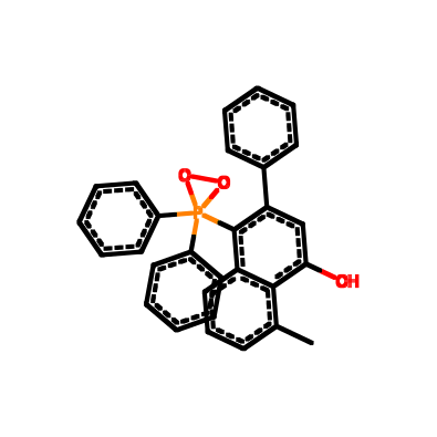 Cc1cccc2c(P3(c4ccccc4)(c4ccccc4)OO3)c(-c3ccccc3)cc(O)c12